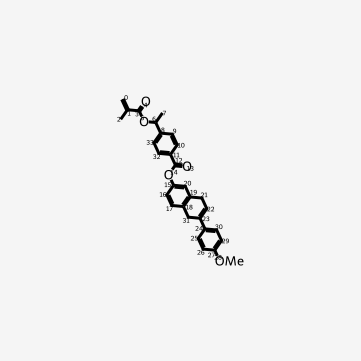 C=C(C)C(=O)OC(C)c1ccc(C(=O)Oc2ccc3c(c2)CC=C(c2ccc(OC)cc2)C3)cc1